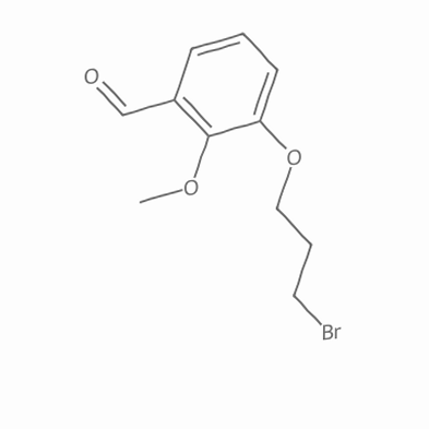 COc1c(C=O)cccc1OCCCBr